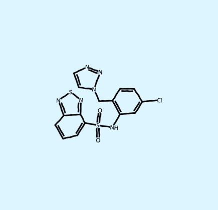 O=S(=O)(Nc1cc(Cl)ccc1Cn1ccnn1)c1cccc2nsnc12